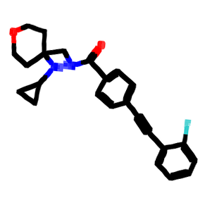 O=C(NCC1(NC2CC2)CCOCC1)c1ccc(C#Cc2ccccc2F)cc1